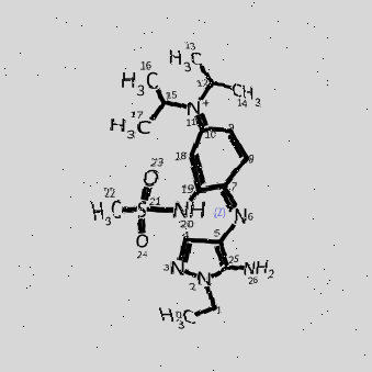 CCn1ncc(/N=C2/C=CC(=[N+](C(C)C)C(C)C)C=C2NS(C)(=O)=O)c1N